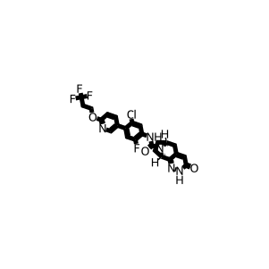 O=C(Nc1cc(Cl)c(-c2ccc(OCCC(F)(F)F)nc2)cc1F)N1[C@H]2CC[C@@H]1c1n[nH]c(=O)cc1C2